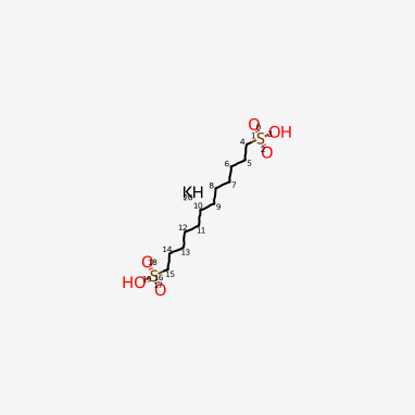 O=S(=O)(O)CCCCCCCCCCCCS(=O)(=O)O.[KH]